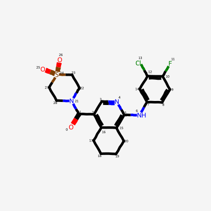 O=C(c1cnc(Nc2ccc(F)c(Cl)c2)c2c1CCCC2)N1CCS(=O)(=O)CC1